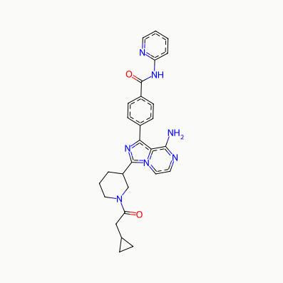 Nc1nccn2c(C3CCCN(C(=O)CC4CC4)C3)nc(-c3ccc(C(=O)Nc4ccccn4)cc3)c12